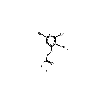 COC(=O)COc1cc(Br)nc(Br)c1N